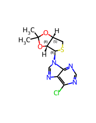 CC1(C)O[C@H]2[C@H](n3cnc4c(Cl)ncnc43)SC[C@H]2O1